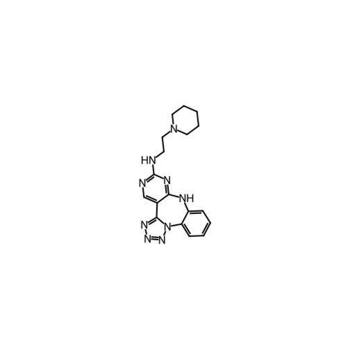 c1ccc2c(c1)Nc1nc(NCCN3CCCCC3)ncc1-c1nnnn1-2